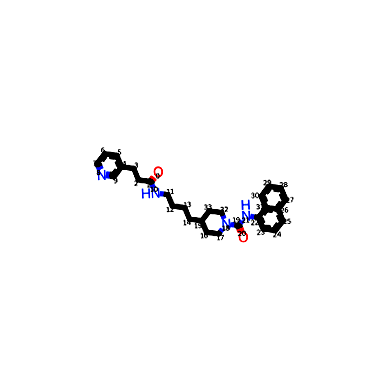 O=C(CCc1cccnc1)NCCCCC1CCN(C(=O)Nc2cccc3ccccc23)CC1